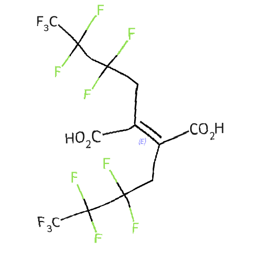 O=C(O)/C(CC(F)(F)C(F)(F)C(F)(F)F)=C(\CC(F)(F)C(F)(F)C(F)(F)F)C(=O)O